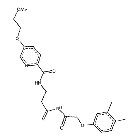 C=C(CCNC(=O)c1ccc(OCCOC)cn1)NC(=O)COc1ccc(C)c(C)c1